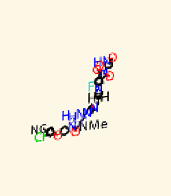 CN/C(=C\C=C(/N)N1CC2CC1CN2C[C@H]1[C@@H]2CN(c3cc4c(cc3F)C(=O)N(C3CCC(=O)NC3=O)C4=O)C[C@@H]21)C(=O)N[C@H]1CC[C@H](Oc2ccc(C#N)c(Cl)c2)CC1